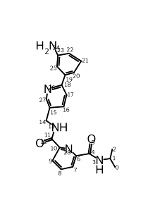 CC(C)NC(=O)c1cccc(C(=O)NCc2ccc(-c3cccc(N)c3)nc2)n1